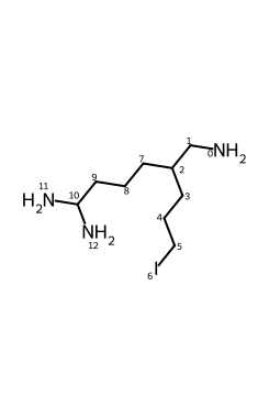 NCC(CCCI)CCCC(N)N